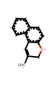 O=CC1=Cc2c(ccc3ccccc23)OC1